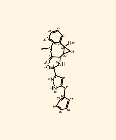 CN1C(=O)C(NC(=O)c2cc(Cc3ccccc3)[nH]n2)C2C[C@H]2c2cccnc21